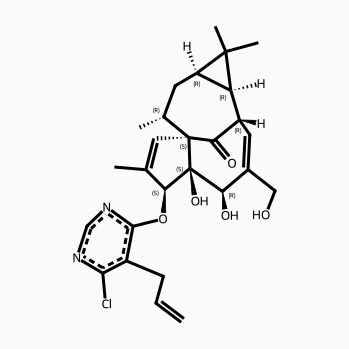 C=CCc1c(Cl)ncnc1O[C@H]1C(C)=C[C@]23C(=O)[C@@H](C=C(CO)[C@@H](O)[C@]12O)[C@H]1[C@@H](C[C@H]3C)C1(C)C